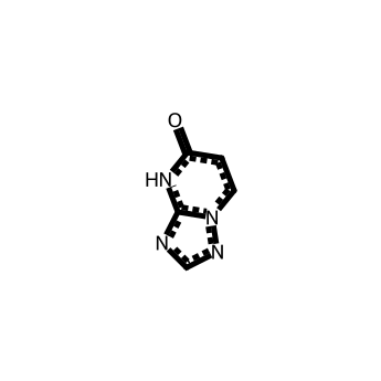 O=c1ccn2ncnc2[nH]1